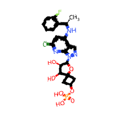 C[C@H](Nc1cc(Cl)nc2c1cnn2C1OC2(CC(OP(=O)(O)O)C2)[C@@H](O)[C@H]1O)c1ccccc1F